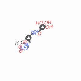 COc1ccc(/C=N/NC(=O)c2cc(O)c(O)c(O)c2)cc1Cn1cnc([N+](=O)[O-])n1